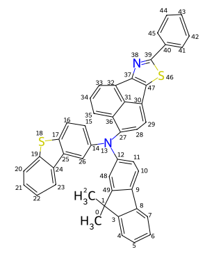 CC1(C)c2ccccc2-c2ccc(N(c3ccc4sc5ccccc5c4c3)c3ccc4c5c(cccc35)-c3nc(-c5ccccc5)sc3-4)cc21